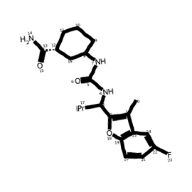 Cc1c(C(NC(=O)NC2CCC[C@@H](C(N)=O)C2)C(C)C)oc2ccc(F)cc12